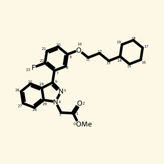 COC(=O)Cn1nc(-c2cc(OCCCC3CCCCC3)ccc2F)c2ccccc21